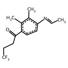 C/C=N/c1ccc(C(=O)CCC(F)(F)F)c(C)c1C